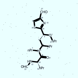 CCCO[C@H](CC(C(C)C)N(CCC)C(=O)[C@H](CCC)NC=O)c1nc(C=O)cs1